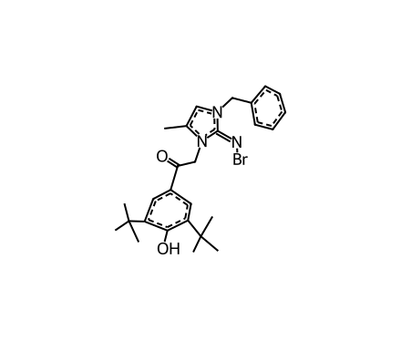 Cc1cn(Cc2ccccc2)/c(=N/Br)n1CC(=O)c1cc(C(C)(C)C)c(O)c(C(C)(C)C)c1